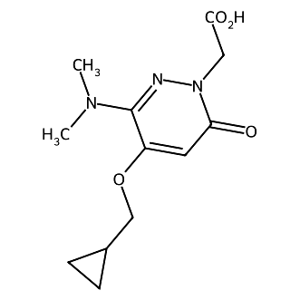 CN(C)c1nn(CC(=O)O)c(=O)cc1OCC1CC1